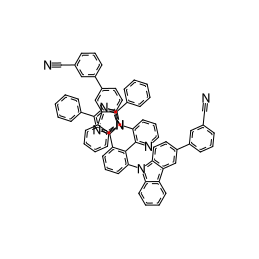 N#Cc1cccc(-c2ccc3c(c2)c2ccccc2n3-c2cccnc2-c2c(-c3nc(-c4ccccc4)nc(-c4ccccc4)n3)cccc2-n2c3ccccc3c3cc(-c4cccc(C#N)c4)ccc32)c1